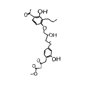 CCCc1c(OCC(O)CSc2ccc(CC(=O)CC(=O)OC)c(O)c2)ccc(C(C)=O)c1O